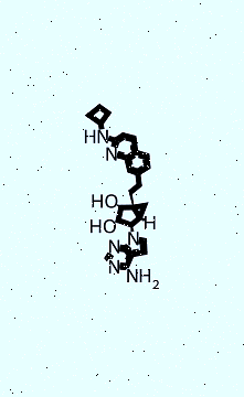 Nc1ncnc2c1ccn2[C@H]1[C@H](O)[C@H](O)[C@]2(CCc3ccc4ccc(NC5CCC5)nc4c3)C[C@H]12